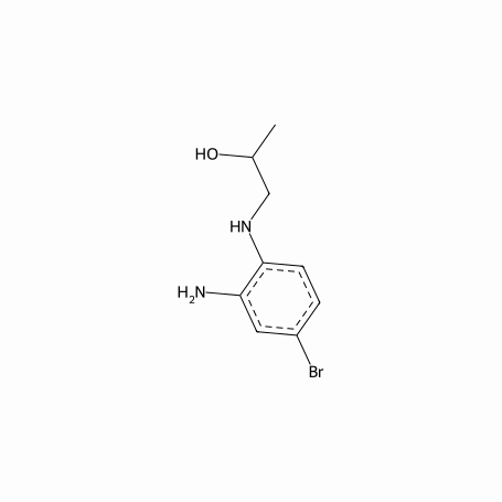 CC(O)CNc1ccc(Br)cc1N